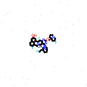 C#Cc1c(F)ccc2cc(O)cc(-c3ncc4c(N5CC6CCC(CCF)(C5)N6)nc(OC[C@@]56CCCN5C[C@H](F)C6)nc4c3F)c12